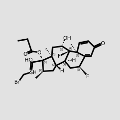 CCC(=O)O[C@@]1(C(O)=[SH]CBr)[C@H](C)C[C@H]2[C@@H]3C[C@H](F)C4=CC(=O)C=C[C@]4(C)[C@@]3(F)[C@@H](O)C[C@@]21C